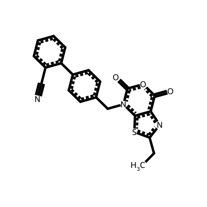 CCc1nc2c(=O)oc(=O)n(Cc3ccc(-c4ccccc4C#N)cc3)c2s1